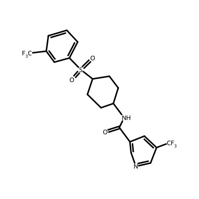 O=C(NC1CCC(S(=O)(=O)c2cccc(C(F)(F)F)c2)CC1)c1cncc(C(F)(F)F)c1